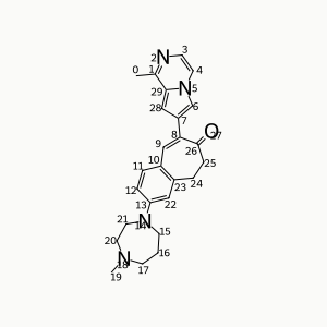 Cc1nccn2cc(C3=Cc4ccc(N5CCCN(C)CC5)cc4CCC3=O)cc12